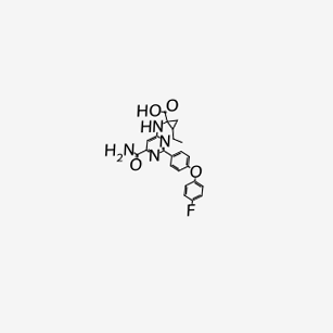 CCC1CC1(Nc1cc(C(N)=O)nc(-c2ccc(Oc3ccc(F)cc3)cc2)n1)C(=O)O